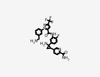 NCc1cccc(-n2nc(C(F)(F)F)cc2C(=O)Nc2cc(C3(N)CC3c3ccc(C(N)=O)nc3)ccc2F)c1